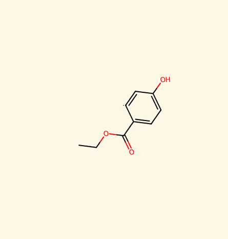 CCOC(=O)c1[c]cc(O)cc1